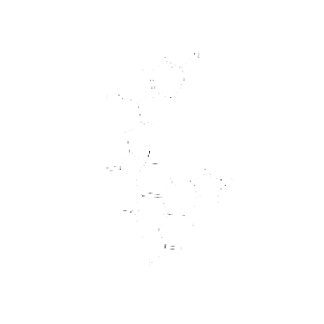 Nc1ccc(C(N)C(=O)NC2C(=O)N3C(C(=O)O)=C(C(CC(=O)O)Sc4nnn[nH]4)CS[C@@H]23)cc1